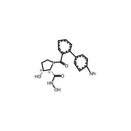 CCCc1ccc(-c2ccccc2C(=O)N2CC[C@@H](O)[C@H]2C(=O)NO)cc1